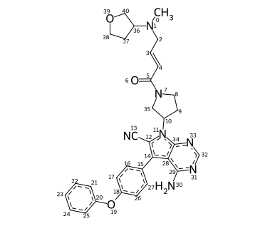 CN(CC=CC(=O)N1CCC(n2c(C#N)c(-c3ccc(Oc4ccccc4)cc3)c3c(N)ncnc32)C1)C1CCOC1